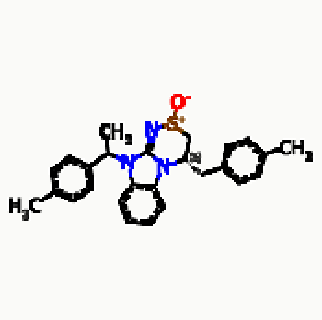 Cc1ccc(C[C@H]2C[S+]([O-])N=C3N(C(C)c4ccc(C)cc4)c4ccccc4N32)cc1